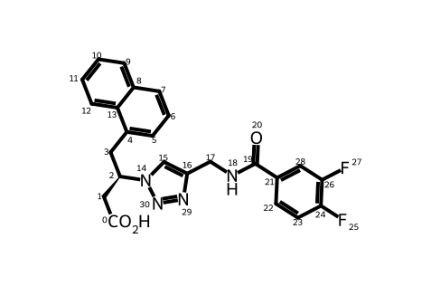 O=C(O)C[C@@H](Cc1cccc2ccccc12)n1cc(CNC(=O)c2ccc(F)c(F)c2)nn1